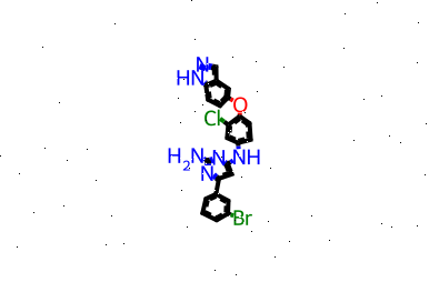 Nc1nc(Nc2ccc(Oc3ccc4[nH]ncc4c3)c(Cl)c2)cc(-c2cccc(Br)c2)n1